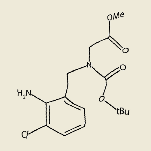 COC(=O)CN(Cc1cccc(Cl)c1N)C(=O)OC(C)(C)C